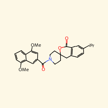 COc1cc(C(=O)N2CCC3(CC2)Cc2ccc(C(C)C)cc2C(=O)O3)cc2c(OC)cccc12